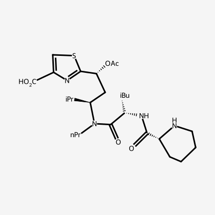 CCCN(C(=O)[C@@H](NC(=O)[C@H]1CCCCN1)[C@@H](C)CC)[C@H](C[C@@H](OC(C)=O)c1nc(C(=O)O)cs1)C(C)C